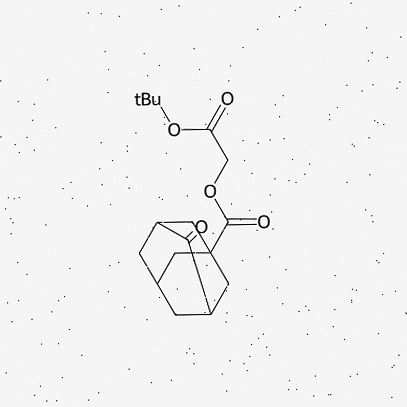 CC(C)(C)OC(=O)COC(=O)C12CC3CC(C1)C(=O)C(C3)C2